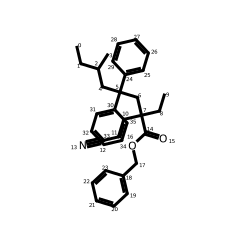 CCC(C)CC(CC(CC)(CCC#N)C(=O)OCc1ccccc1)(c1ccccc1)c1ccccc1